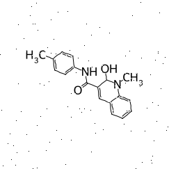 Cc1ccc(NC(=O)C2=Cc3ccccc3N(C)C2O)cc1